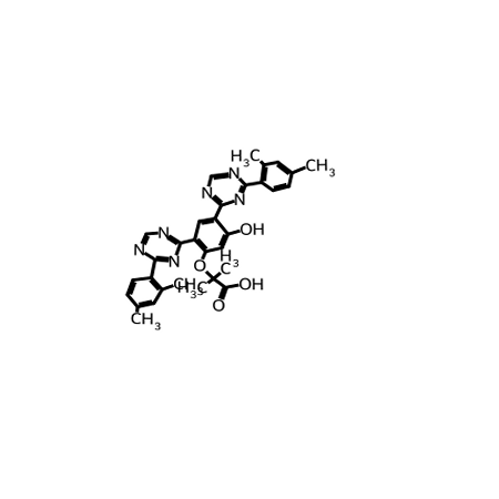 Cc1ccc(-c2ncnc(-c3cc(-c4ncnc(-c5ccc(C)cc5C)n4)c(OC(C)(C)C(=O)O)cc3O)n2)c(C)c1